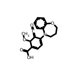 COC1C(=C=O)C(N2CCCOc3ccccc32)=CC=C1C(=O)O